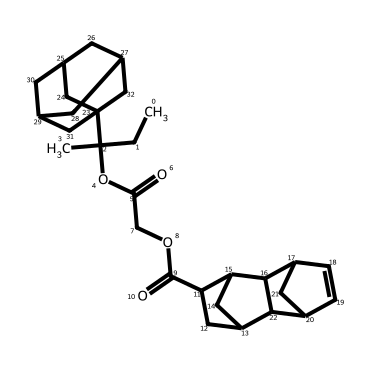 CCC(C)(OC(=O)COC(=O)C1CC2CC1C1C3C=CC(C3)C21)C12CC3CC(CC(C3)C1)C2